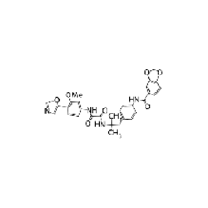 COc1cc(NC(=O)C(=O)NC(C)(C)Cc2ccc(NC(=O)c3ccc4c(c3)OCO4)cc2)ccc1-c1cnco1